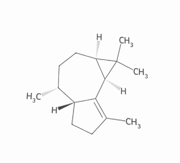 CC1=C2[C@H](CC1)[C@H](C)CC[C@@H]1[C@H]2C1(C)C